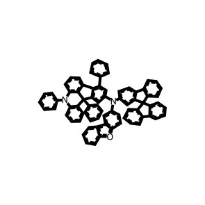 c1ccc(-c2cc(N(c3ccc4c(c3)C3(c5ccccc5-c5ccccc53)c3ccccc3-4)c3ccc4oc5ccccc5c4c3)cc3c2-c2cccc4c2C3(c2ccccc2)c2ccccc2N4c2ccccc2)cc1